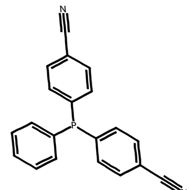 N#Cc1ccc(P(c2ccccc2)c2ccc(C#N)cc2)cc1